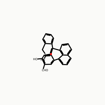 O=Cc1cc(-c2cccc3cccc(C4=CN(O)Cc5ccccc54)c23)ccc1O